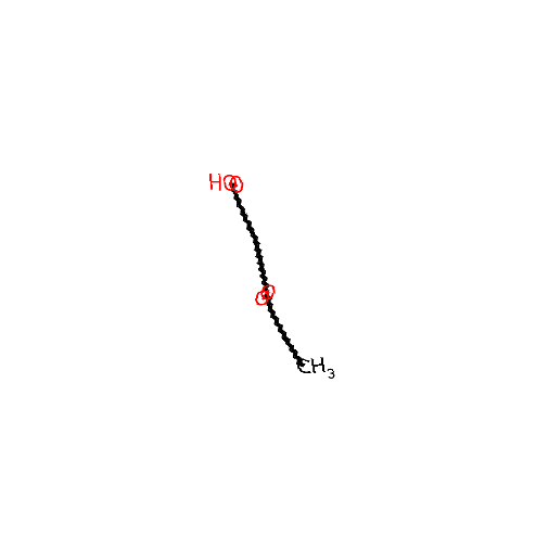 CCCCCCCCC=CCCCCCCCCCCCC(=O)OCCCCCCCCCCCCCCCCCCCCCCCCCCCCCC(=O)O